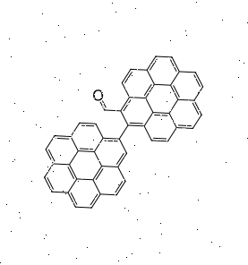 O=Cc1c(-c2cc3ccc4ccc5ccc6ccc7ccc2c2c7c6c5c4c32)c2ccc3ccc4ccc5ccc6ccc1c1c6c5c4c3c21